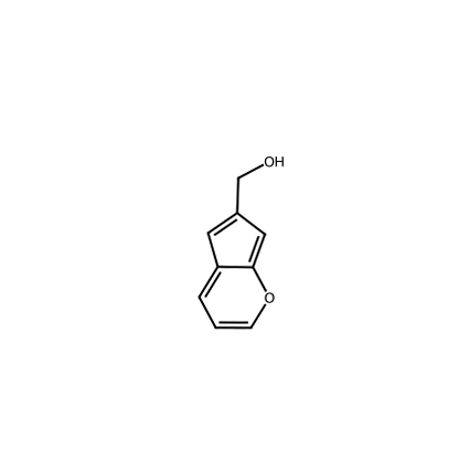 OCc1cc2cccoc-2c1